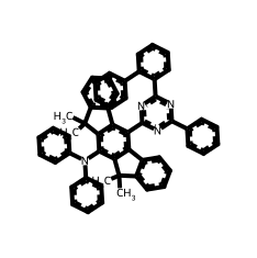 CC1(C)c2ccccc2-c2c(-c3nc(-c4ccccc4)nc(-c4ccccc4-c4ccccc4)n3)c3c(c(N(c4ccccc4)c4ccccc4)c21)C(C)(C)c1ccccc1-3